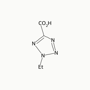 CCn1nnc(C(=O)O)n1